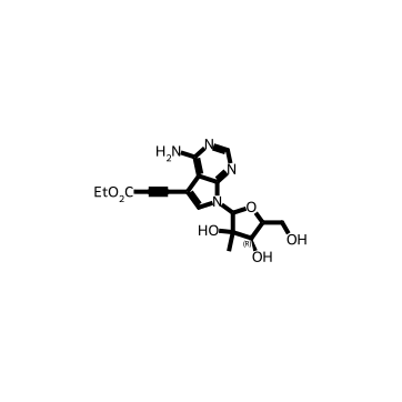 CCOC(=O)C#Cc1cn(C2OC(CO)[C@@H](O)C2(C)O)c2ncnc(N)c12